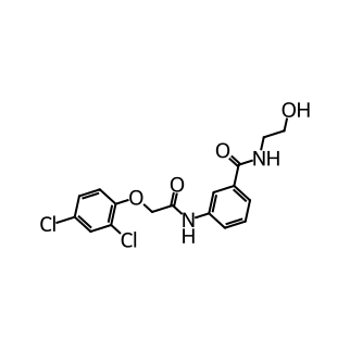 O=C(COc1ccc(Cl)cc1Cl)Nc1cccc(C(=O)NCCO)c1